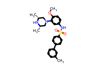 COc1ccc(NS(=O)(=O)c2ccc(-c3cccc(C)c3)cc2)cc1N1C[C@@H](C)N[C@@H](C)C1